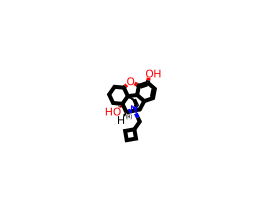 OC1=C2OC3CCC[C@@]4(O)[C@H]5CC(C=C1)C2[C@@]34CCN5CC1CCC1